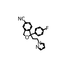 N#Cc1ccc2c(c1)COC2(CCn1cccn1)c1ccc(F)cc1